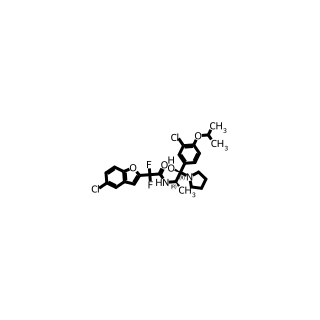 CC(C)Oc1ccc([C@@](O)([C@@H](C)NC(=O)C(F)(F)c2cc3cc(Cl)ccc3o2)N2CCCC2)cc1Cl